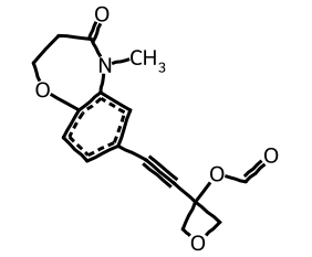 CN1C(=O)CCOc2ccc(C#CC3(OC=O)COC3)cc21